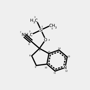 C[Si](C)(C)OC1(C#N)CCc2cnccc21